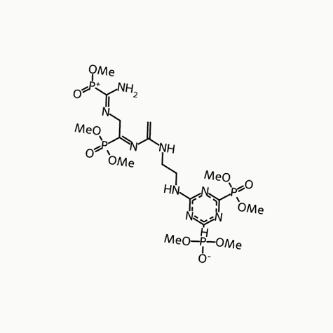 C=C(/N=C(\C/N=C(\N)[P+](=O)OC)P(=O)(OC)OC)NCCNc1nc(P(=O)(OC)OC)nc([PH]([O-])(OC)OC)n1